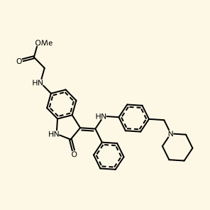 COC(=O)CNc1ccc2c(c1)NC(=O)C2=C(Nc1ccc(CN2CCCCC2)cc1)c1ccccc1